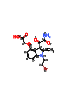 Cc1c(C(=O)C(N)=O)c2c(OCC(=O)O)cccc2n1CCBr